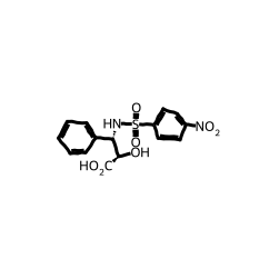 O=C(O)[C@H](O)[C@@H](NS(=O)(=O)c1ccc([N+](=O)[O-])cc1)c1ccccc1